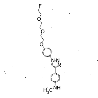 CNc1ccc(-c2cn(-c3ccc(OCCOCCOCCF)cc3)nn2)cc1